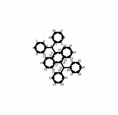 c1ccc(C(c2ccccc2)c2c3ccccc3c(C(c3ccccc3)c3ccccc3)c3ccccc23)cc1